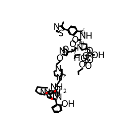 CCCOP(=O)(O)OP(=O)(O)O[C@@H]1C[C@@H](C(=O)N[C@@H](C)c2ccc(-c3scnc3C)cc2)N(C(=O)[C@@H](c2cc(OCCN3CCN(CCOc4cc(N5C6CCC5CN(c5cc(-c7ccccc7O)nnc5N)C6)ccn4)[C@H](C)C3)no2)C(C)C)C1